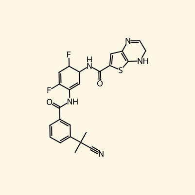 CC(C)(C#N)c1cccc(C(=O)NC2=CC(NC(=O)c3cc4c(s3)NCC=N4)C(F)C=C2F)c1